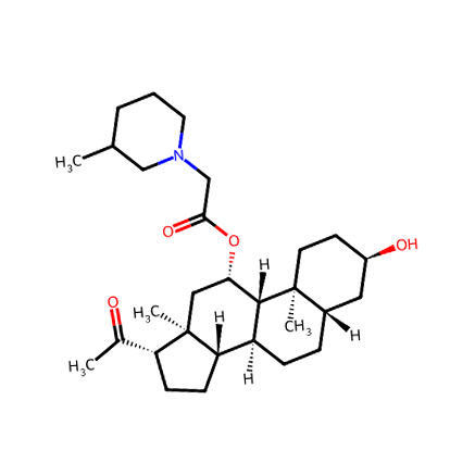 CC(=O)[C@H]1CC[C@H]2[C@@H]3CC[C@H]4C[C@H](O)CC[C@]4(C)[C@H]3[C@@H](OC(=O)CN3CCCC(C)C3)C[C@]12C